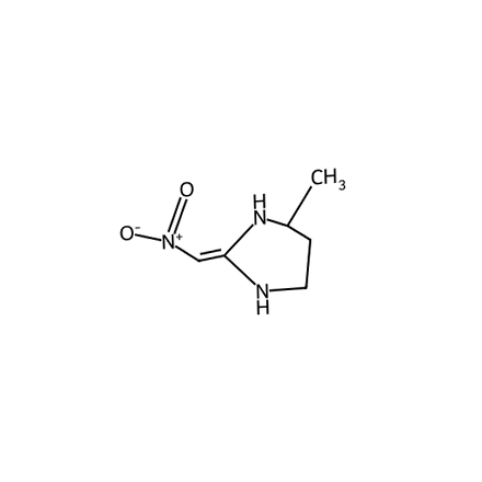 CC1CCN/C(=C/[N+](=O)[O-])N1